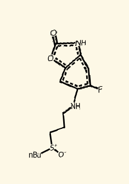 CCCC[S+]([O-])CCCNc1cc2oc(=O)[nH]c2cc1F